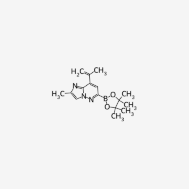 C=C(C)c1cc(B2OC(C)(C)C(C)(C)O2)nn2cc(C)nc12